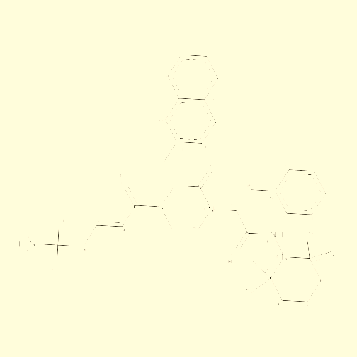 CN(C(=O)C=CCC(C)(C)N)[C@H](Cc1ccc2ccccc2c1)C(=O)N(C)[C@H](Cc1ccccc1)C(=O)NN1C(C)(C)CCCC1(C)C